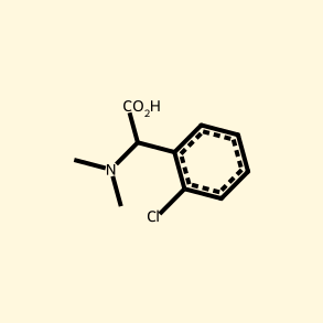 CN(C)C(C(=O)O)c1ccccc1Cl